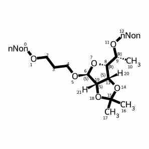 CCCCCCCCCOCCCO[C@H]1O[C@H]([C@@H](C)OCCCCCCCCC)[C@@H]2OC(C)(C)O[C@H]12